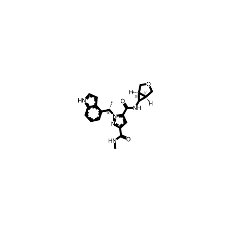 CNC(=O)c1cc(C(=O)NC2[C@H]3COC[C@@H]23)n([C@@H](C)c2cccc3[nH]ccc23)n1